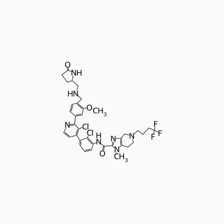 COc1cc(-c2nccc(-c3cccc(NC(=O)c4nc5c(n4C)CCN(CCCC(F)(F)F)C5)c3Cl)c2Cl)ccc1CNCC1CCC(=O)N1